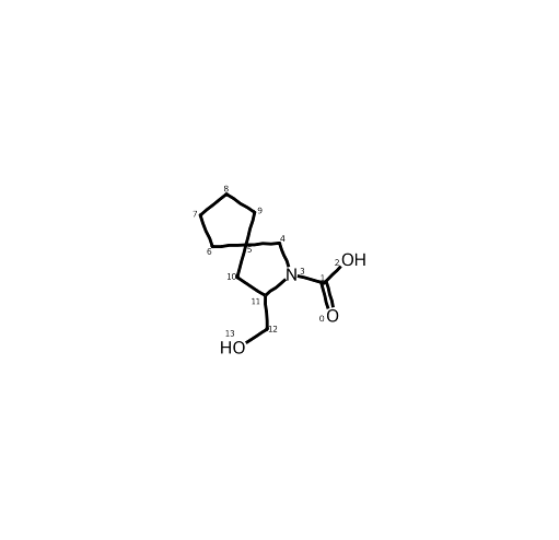 O=C(O)N1CC2(CCCC2)CC1CO